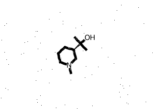 CN1CCC[C@@H](C(C)(C)O)C1